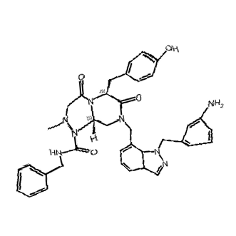 CN1CC(=O)N2[C@@H](Cc3ccc(O)cc3)C(=O)N(CC3=CC=CC4C=NN(Cc5cccc(N)c5)C34)C[C@@H]2N1C(=O)NCc1ccccc1